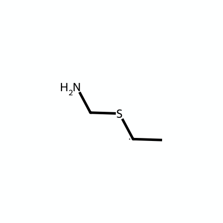 C[CH]SCN